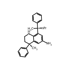 CCC[C@@](C)(c1ccccc1)c1cc(N)cc2c1NCC[C@@]2(C)c1ccccc1